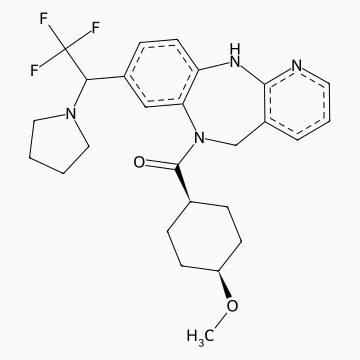 CO[C@H]1CC[C@@H](C(=O)N2Cc3cccnc3Nc3ccc(C(N4CCCC4)C(F)(F)F)cc32)CC1